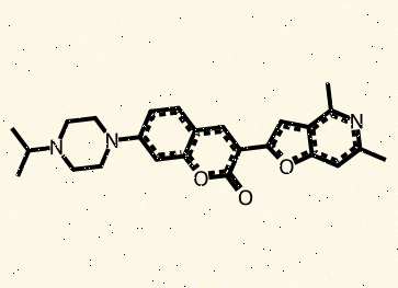 Cc1cc2oc(-c3cc4ccc(N5CCN(C(C)C)CC5)cc4oc3=O)cc2c(C)n1